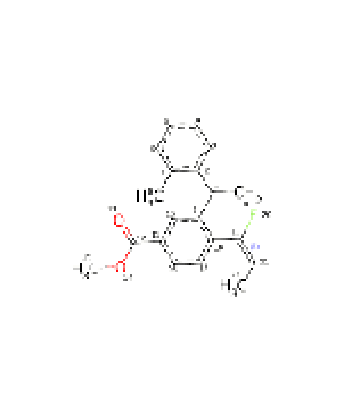 C=C(c1ccccc1C)c1cc(C(=O)OC)ccc1/C(F)=C\C